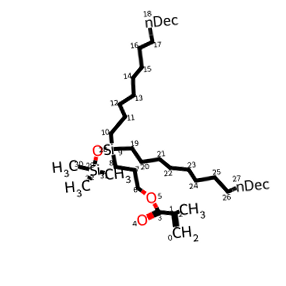 C=C(C)C(=O)OCCC[Si](CCCCCCCCCCCCCCCCCC)(CCCCCCCCCCCCCCCCCC)O[Si](C)(C)C